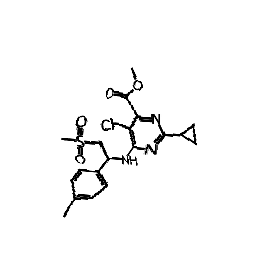 COC(=O)c1nc(C2CC2)nc(NC(CS(C)(=O)=O)c2ccc(C)cc2)c1Cl